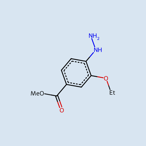 CCOc1cc(C(=O)OC)ccc1NN